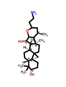 C[C@@H]1CC(CCN)OC2C1[C@@]1(C)CCC34C[C@@]35CC[C@H](O)C(C)(C)[C@@H]5CC[C@H]4[C@]1(C)[C@H]2O